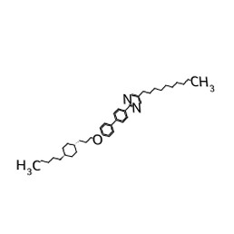 CCCCCCCCCCc1cnc(-c2ccc(-c3ccc(OCCC[C@H]4CC[C@H](CCCCC)CC4)cc3)cc2)nc1